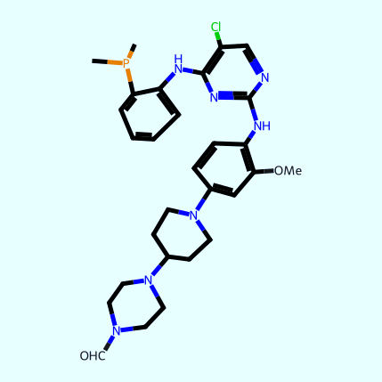 COc1cc(N2CCC(N3CCN(C=O)CC3)CC2)ccc1Nc1ncc(Cl)c(Nc2ccccc2P(C)C)n1